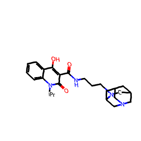 CC(C)n1c(=O)c(C(=O)NCCCN2CC3CC4CC2CN(C4)C3)c(O)c2ccccc21